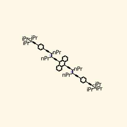 CCC/C(C#Cc1ccc(C#C[Si](C(C)C)(C(C)C)C(C)C)cc1)=C(\C#Cc1c2ccccc2c(C#C/C(CCC)=C(/C#Cc2ccc(C#C[Si](C(C)C)(C(C)C)C(C)C)cc2)CCC)c2ccccc12)CCC